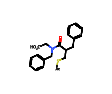 CC(=O)SCC(Cc1ccccc1)C(=O)N(CC(=O)O)Cc1ccccc1